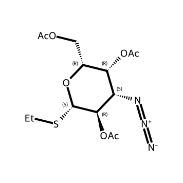 CCS[C@@H]1O[C@H](COC(C)=O)[C@H](OC(C)=O)[C@H](N=[N+]=[N-])[C@H]1OC(C)=O